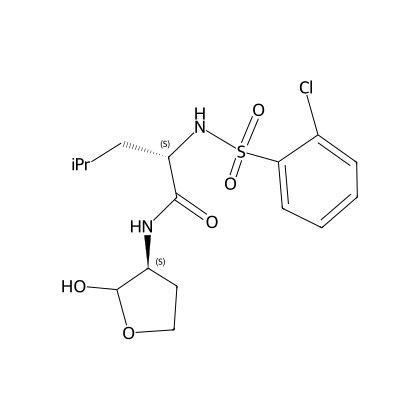 CC(C)C[C@H](NS(=O)(=O)c1ccccc1Cl)C(=O)N[C@H]1CCOC1O